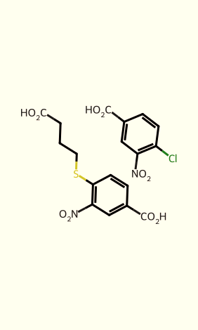 O=C(O)CCCSc1ccc(C(=O)O)cc1[N+](=O)[O-].O=C(O)c1ccc(Cl)c([N+](=O)[O-])c1